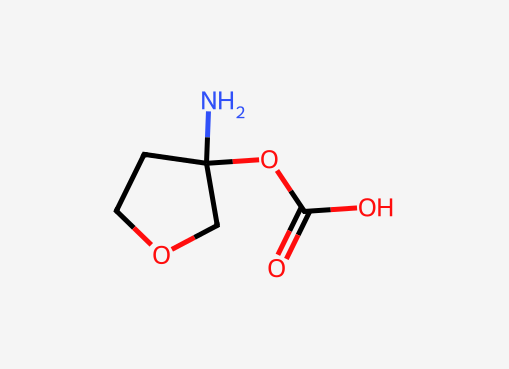 NC1(OC(=O)O)CCOC1